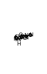 C[C@@H]1[C@@H](C)C(C)(C)[C@@H](C)C[C@H]1Nc1cnn(Cc2nc(-c3ccncc3)no2)c(=O)c1Cl